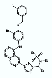 CCC(c1nc(-c2cc3c(Nc4ccc(OCc5cccc(F)c5)c(Br)c4)ncnc3cn2)cs1)N(CC)S(=O)(=O)CC